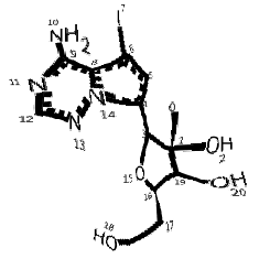 C[C@]1(O)C(c2cc(I)c3c(N)ncnn23)O[C@H](CO)C1O